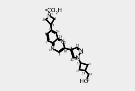 O=C(O)N1CC(c2ccc3ncc(-c4cnn(C5CC(CO)C5)c4)nc3c2)C1